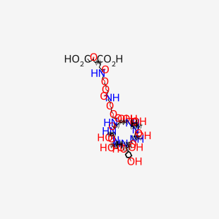 C[C@@H](O)[C@@H]1NC(=O)[C@H]([C@H](O)[C@@H](O)c2ccc(O)cc2)NC(=O)[C@@H]2C[C@@H](O)CN2C(=O)[C@H]([C@@H](C)O)NC(=O)[C@@H](NC(=O)COCCOCCNC(=O)COCCOCCNC(=O)CC[C@H](CC(=O)CC(=O)O)C(=O)O)C[C@@H](O)[C@@H](O)NC(=O)[C@@H]2[C@@H](O)[C@@H](C)CN2C1=O